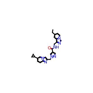 CCc1ccn2cnc(CNC(=O)c3cnn(Cc4cn5cc(C6CC6)ccc5n4)c3)c2c1